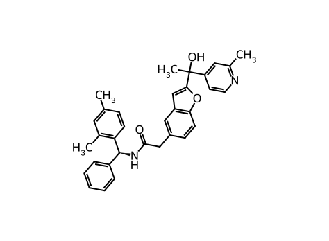 Cc1ccc([C@@H](NC(=O)Cc2ccc3oc(C(C)(O)c4ccnc(C)c4)cc3c2)c2ccccc2)c(C)c1